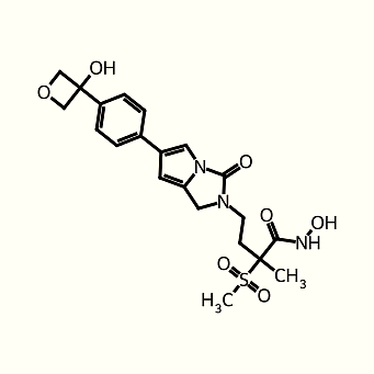 CC(CCN1Cc2cc(-c3ccc(C4(O)COC4)cc3)cn2C1=O)(C(=O)NO)S(C)(=O)=O